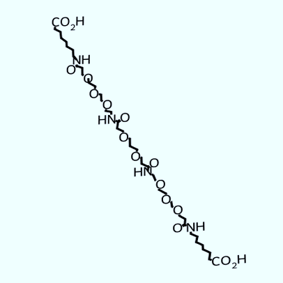 O=C(O)CCCCCCCNC(=O)CCOCCOCCOCCNC(=O)CCOCCCOCCC(=O)NCCOCCOCCOCCC(=O)NCCCCCCCC(=O)O